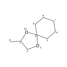 CC1COC2(CCCCC2)O1